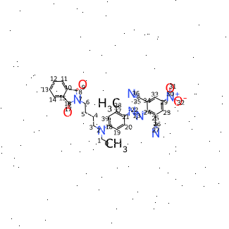 CCN(CCCCN1C(=O)c2ccccc2C1=O)c1ccc(/N=N/c2c(C#N)cc([N+](=O)[O-])cc2C#N)c(C)c1